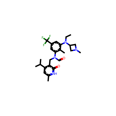 CCN(c1cc(C(F)(F)F)cc(N(C=O)Cc2c(C(C)C)cc(C)[nH]c2=O)c1C)C1CN(C)C1